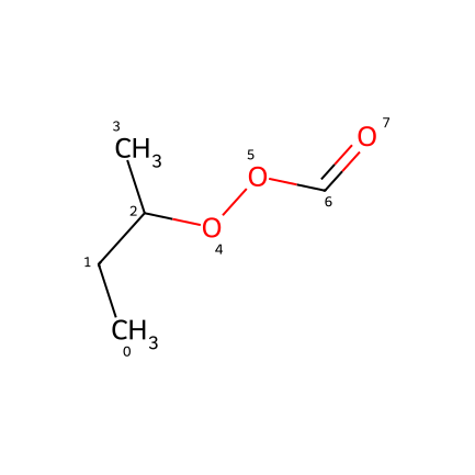 CCC(C)OOC=O